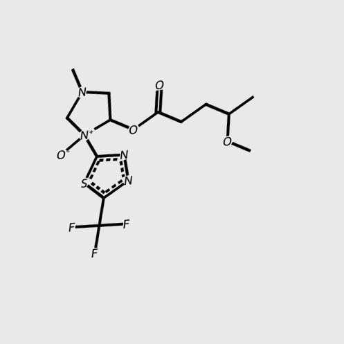 COC(C)CCC(=O)OC1CN(C)C[N+]1([O-])c1nnc(C(F)(F)F)s1